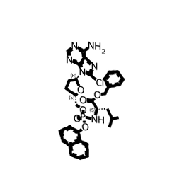 CC(C)C[C@H](NP(=O)(OC[C@@H]1CC[C@H](n2c(Cl)nc3c(N)ncnc32)O1)Oc1cccc2ccccc12)C(=O)OCc1ccccc1